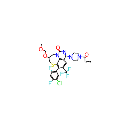 C=CC(=O)N1CCN(c2nc(=O)n3c4c(c(-c5cc(Cl)c(F)cc5F)c(C(F)(F)F)cc24)SCC(OCOC)C3)CC1